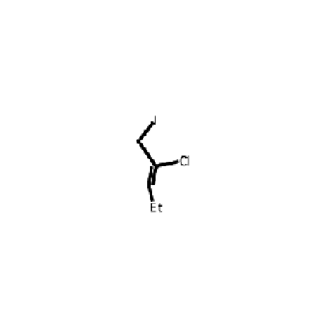 CC/C=C(\Cl)CI